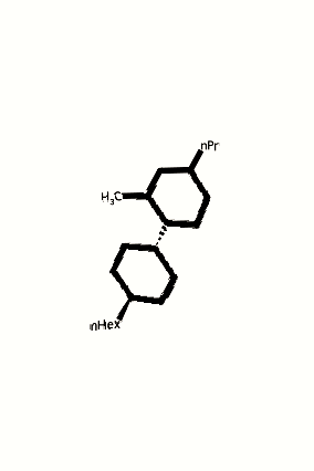 CCCCCC[C@H]1CC[C@H](C2CCC(CCC)CC2C)CC1